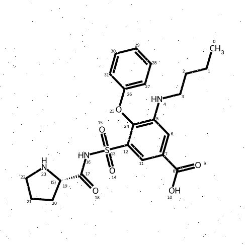 CCCCNc1cc(C(=O)O)cc(S(=O)(=O)NC(=O)[C@@H]2CCCN2)c1Oc1ccccc1